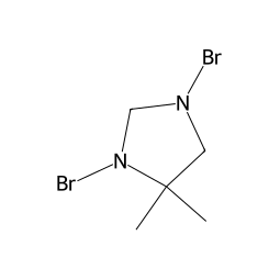 CC1(C)CN(Br)CN1Br